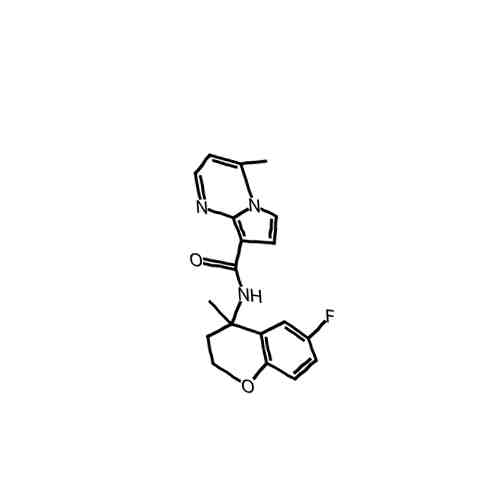 Cc1ccnc2c(C(=O)NC3(C)CCOc4ccc(F)cc43)ccn12